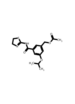 CC(=O)OCc1cc(OC(C)C)cc(C(=O)NC2=NCCS2)c1